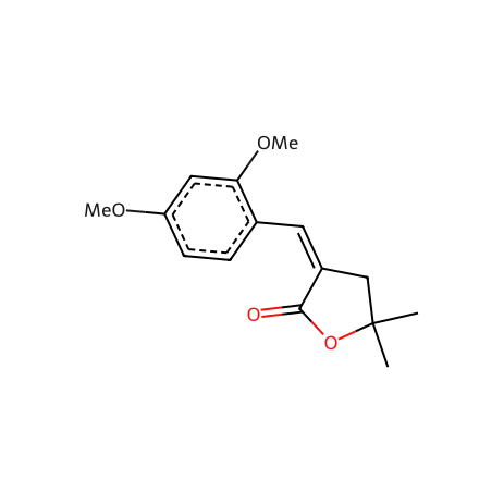 COc1ccc(C=C2CC(C)(C)OC2=O)c(OC)c1